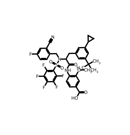 COc1cc(C(=O)O)ccc1NC(=O)C(Cc1cc(C2CC2)cc(C(C)(C)C)c1)N(Cc1ccc(F)cc1C#N)S(=O)(=O)c1c(F)c(F)c(F)c(F)c1F